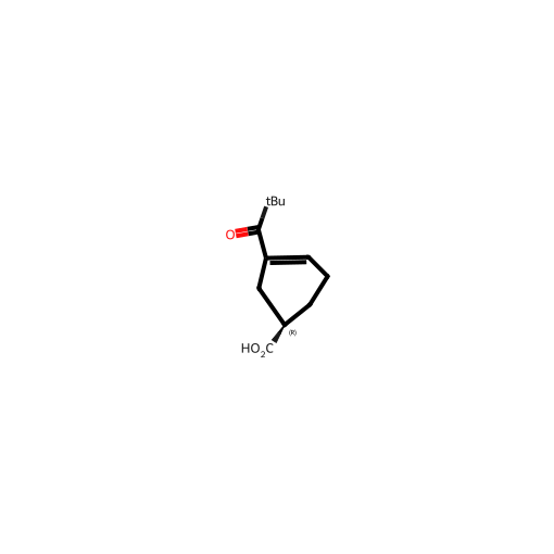 CC(C)(C)C(=O)C1=CCC[C@@H](C(=O)O)C1